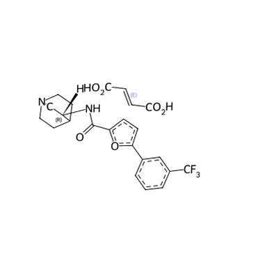 O=C(N[C@H]1CN2CCC1CC2)c1ccc(-c2cccc(C(F)(F)F)c2)o1.O=C(O)/C=C/C(=O)O